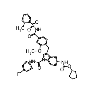 COc1cc(C(=O)NS(=O)(=O)c2ccccc2C)ccc1Cc1cn(C(=O)Nc2ccc(F)cc2)c2ccc(NC(=O)OC3CCCC3)cc12